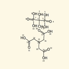 CC(O)(P(=O)(O)O)P(=O)(O)O.O=C(O)CN(CC(=O)O)CC(=O)O